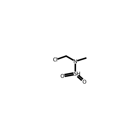 CN(CCl)[SH](=O)=O